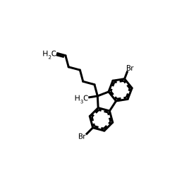 C=CCCCCC1(C)c2cc(Br)ccc2-c2ccc(Br)cc21